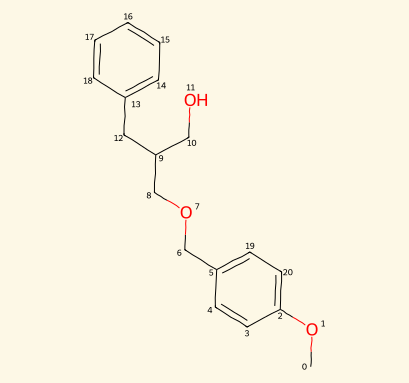 COc1ccc(COCC(CO)Cc2ccccc2)cc1